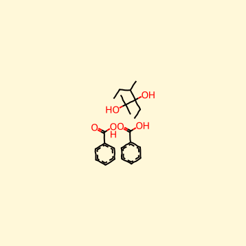 CCC(C)C(O)(CC)C(C)(C)O.O=C(O)c1ccccc1.O=C(O)c1ccccc1